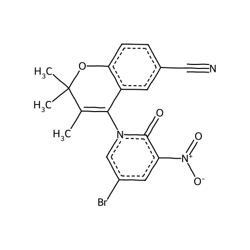 CC1=C(n2cc(Br)cc([N+](=O)[O-])c2=O)c2cc(C#N)ccc2OC1(C)C